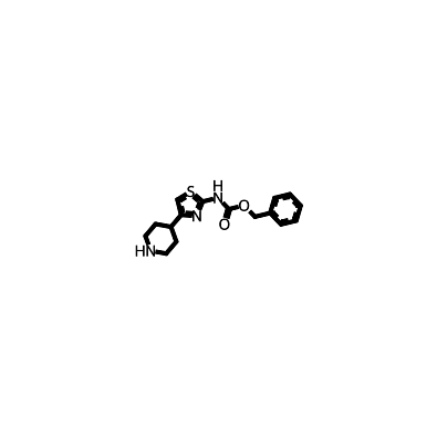 O=C(Nc1nc(C2CCNCC2)cs1)OCc1ccccc1